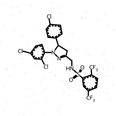 O=S(=O)(NCC1=NN(c2ccc(Cl)cc2Cl)C(c2ccc(Cl)cc2)C1)c1cc(C(F)(F)F)ccc1C(F)(F)F